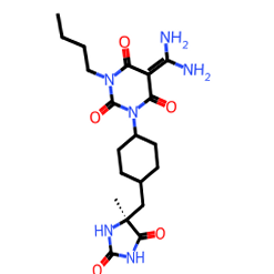 CCCCN1C(=O)C(=C(N)N)C(=O)N(C2CCC(C[C@]3(C)NC(=O)NC3=O)CC2)C1=O